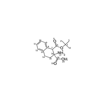 CC(C)(C)OC(=O)C1c2ccccc2CCC1(N)C(=O)O